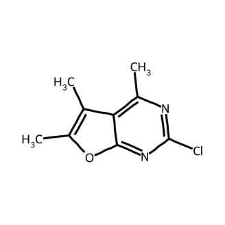 Cc1oc2nc(Cl)nc(C)c2c1C